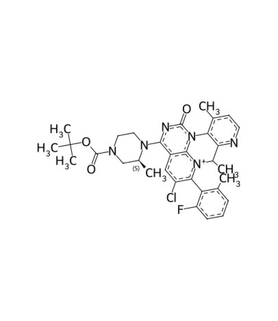 Cc1cccc(F)c1-c1c(Cl)cc2c(N3CCN(C(=O)OC(C)(C)C)C[C@@H]3C)nc(=O)n3c2[n+]1C(C)c1nccc(C)c1-3